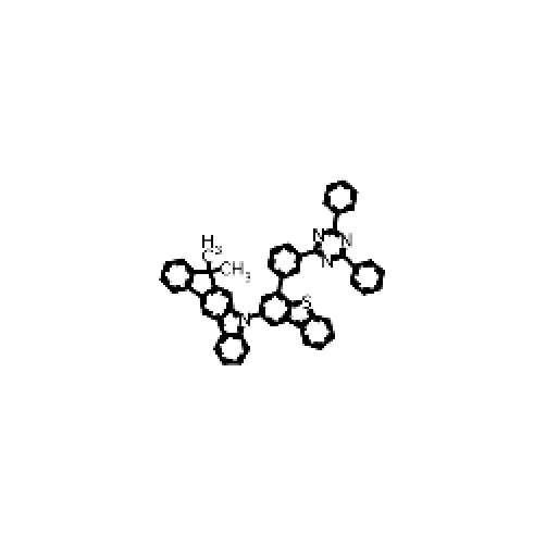 CC1(C)c2ccccc2-c2cc3c4ccccc4n(-c4cc(-c5cccc(-c6nc(-c7ccccc7)nc(-c7ccccc7)n6)c5)c5sc6ccccc6c5c4)c3cc21